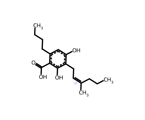 CCCCc1cc(O)c(C/C=C(/C)CCC)c(O)c1C(=O)O